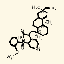 C=C[C@]1(C)CC=C2C(CCC3[C@](C)(CC(C(=O)O)N4CCNCC4S(=O)(=O)c4ccccc4OC)CCC[C@]23C)C1